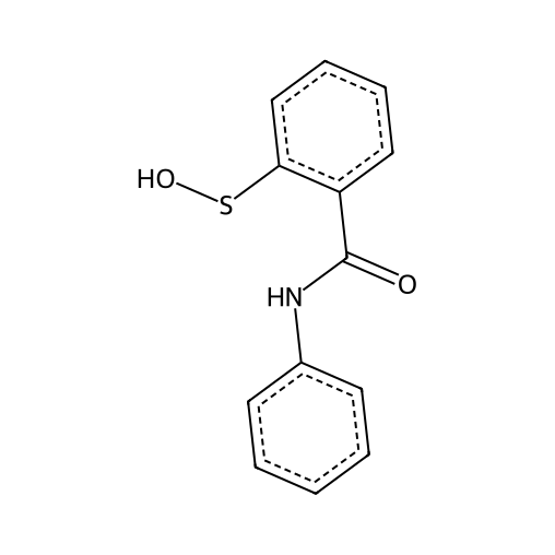 O=C(Nc1ccccc1)c1ccccc1SO